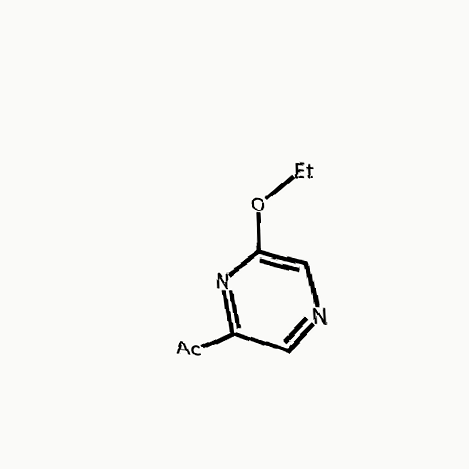 CCOc1cncc(C(C)=O)n1